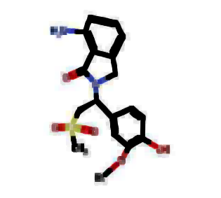 CCOc1cc([C@@H](CS(C)(=O)=O)N2Cc3cccc(N)c3C2=O)ccc1O